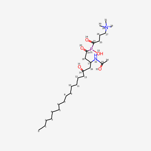 CCCCCCCCCCCCCCC(=O)CC(CC(=O)P(O)C(=O)CCC[N+](C)(C)C)NC(C)=O